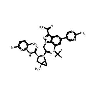 CC(=O)c1nn(CC(=O)N2C3C[C@]3(C)C[C@H]2C(=O)Nc2nc(Br)ccc2C)c2c(OC(F)(F)F)cc(-c3cnc(C)nc3)cc12